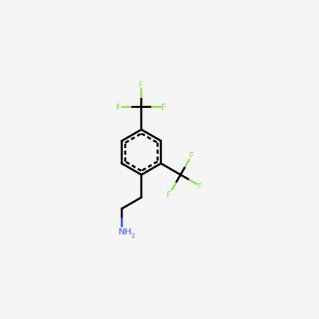 NCCc1ccc(C(F)(F)F)cc1C(F)(F)F